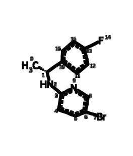 C[C@@H](Nc1ccc(Br)cn1)c1ccc(F)cc1